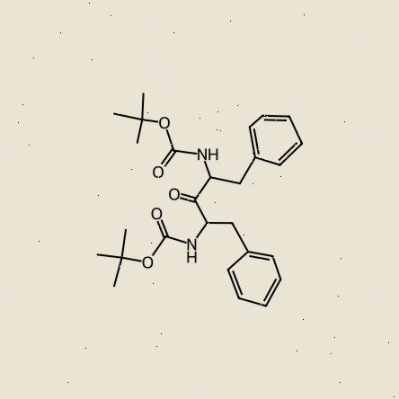 CC(C)(C)OC(=O)NC(Cc1ccccc1)C(=O)C(Cc1ccccc1)NC(=O)OC(C)(C)C